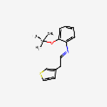 C[Si](C)(C)Oc1ccccc1N=CCc1ccsc1